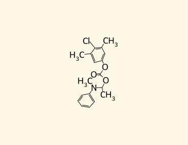 Cc1cc(OC(=O)OC(C)N(C)c2ccccc2)cc(C)c1Cl